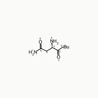 CCC(C)C(=O)[C@H](N)CC(N)=O